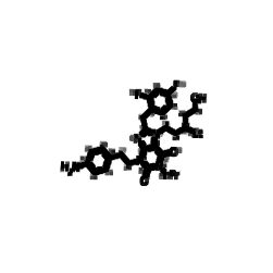 CCCn1c(=O)c2c(nc(Cc3ccc(F)cc3F)n2CCN(CC)CCO)n(CCc2ccc(N)cc2)c1=O